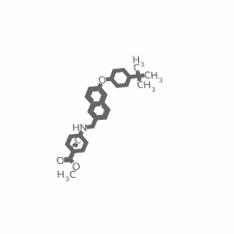 COC(=O)C12CCC(NCc3ccc4cc(OC5CCC(C(C)(C)C)CC5)ccc4c3)(CC1)CC2